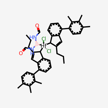 CCCC1=Cc2c(-c3ccc(C)c(C)c3C)cccc2[CH]1[Hf]([Cl])([Cl])([B](NC=O)NC=O)[CH]1C(CCC)=Cc2c(-c3ccc(C)c(C)c3C)cccc21